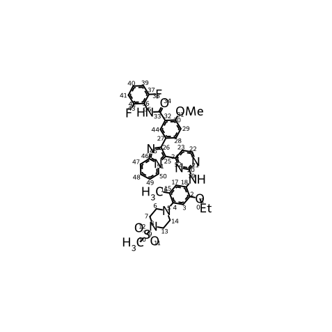 CCOc1cc(N2CCN(S(C)(=O)=O)CC2)c(C)cc1Nc1nccc(-c2c(-c3ccc(OC)c(C(=O)Nc4c(F)cccc4F)c3)nc3ccccn23)n1